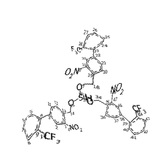 O=[N+]([O-])c1cc(-c2ccccc2C(F)(F)F)ccc1CO[SiH](OCc1ccc(-c2ccccc2C(F)(F)F)cc1[N+](=O)[O-])OCc1ccc(-c2ccccc2C(F)(F)F)cc1[N+](=O)[O-]